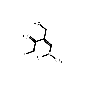 C=C(CF)/C(=C\N(C)C)CC